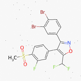 CS(=O)(=O)c1ccc(-c2c(-c3ccc(Br)c(Br)c3)noc2C(F)F)cc1F